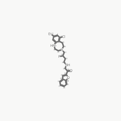 CCc1cc(Cl)c2c(c1)NCCN(CC(F)CCNCC(=O)c1cc3ccccc3o1)CC2